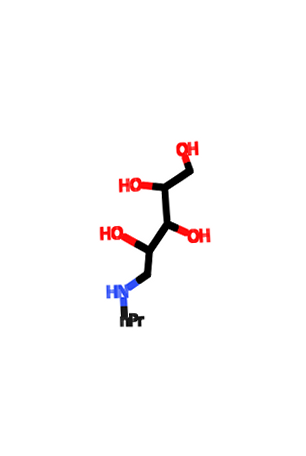 CCCNCC(O)C(O)C(O)CO